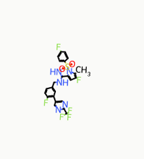 Cc1c(F)cc(C(=N)NCc2ccc(F)c(-c3cnc(C(F)(F)F)nc3)c2)n1S(=O)(=O)c1ccc(F)cc1